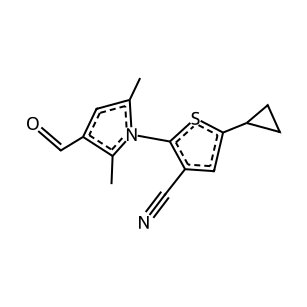 Cc1cc(C=O)c(C)n1-c1sc(C2CC2)cc1C#N